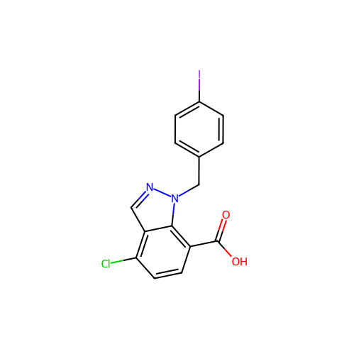 O=C(O)c1ccc(Cl)c2cnn(Cc3ccc(I)cc3)c12